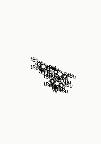 CC(C)(C)c1cc2c(c(C(C)(C)C)c1)OP(=O)([O-])Oc1c(cc(C(C)(C)C)cc1C(C)(C)C)CC2.CC(C)(C)c1cc2c(c(C(C)(C)C)c1)OP(=O)([O-])Oc1c(cc(C(C)(C)C)cc1C(C)(C)C)CC2.CC(C)(C)c1cc2c(c(C(C)(C)C)c1)OP(=O)([O-])Oc1c(cc(C(C)(C)C)cc1C(C)(C)C)CC2.[Al+3]